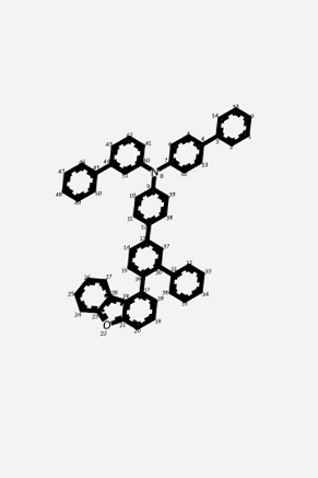 c1ccc(-c2ccc(N(c3ccc(-c4ccc(-c5cccc6oc7ccccc7c56)c(-c5ccccc5)c4)cc3)c3cccc(-c4ccccc4)c3)cc2)cc1